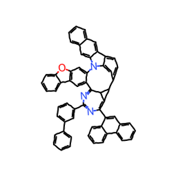 c1ccc(-c2cccc(C3=NC(c4cc5ccccc5c5ccccc45)=C4C5C(=N3)c3cc6c(cc3-n3c7cc(ccc7c7cc8ccccc8cc73)C45)oc3ccccc36)c2)cc1